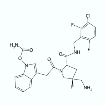 NC[C@@]1(F)C[C@@H](C(=O)NCc2c(F)ccc(Cl)c2F)N(C(=O)Cc2cn(OC(N)=O)c3ccccc23)C1